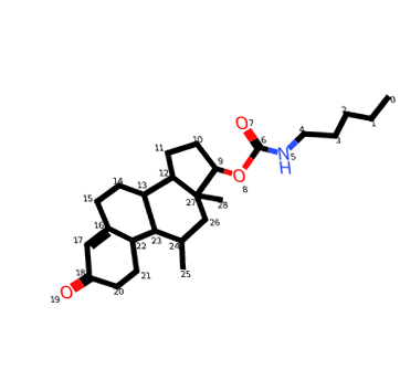 CCCCCNC(=O)OC1CCC2C3CCC4=CC(=O)CCC4C3C(C)CC12C